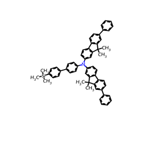 CC1(C)c2cc(-c3ccccc3)ccc2-c2ccc(N(c3ccc(-c4ccc([Si](C)(C)C)cc4)cc3)c3ccc4c(c3)C(C)(C)c3cc(-c5ccccc5)ccc3-4)cc21